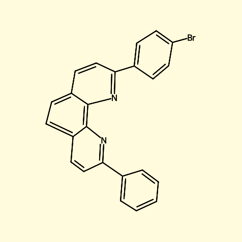 Brc1ccc(-c2ccc3ccc4ccc(-c5ccccc5)nc4c3n2)cc1